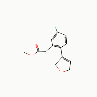 COC(=O)Cc1cc(F)ccc1C1=CCOC1